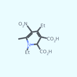 CCC1=C(C(=O)O)C(C(=O)O)N(CC)C(C)=C1[N+](=O)[O-]